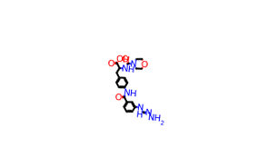 NN=CNc1cccc(C(=O)Nc2ccc(CC(NC(=O)N3CCOCC3)C(=O)O)cc2)c1